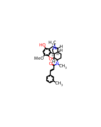 COc1cc(O)c2c3c1O[C@H]1[C@H](N(C)C(=O)C=Cc4cccc(C)c4)CC[C@H]4[C@@H](C2)N(C)CC[C@@]341